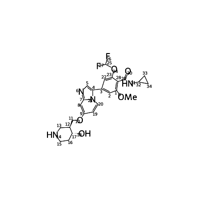 COc1cc(-c2cnc3cc(OC[C@@H]4CNCC[C@H]4O)ccn23)cc(OC(F)F)c1C(=O)NC1CC1